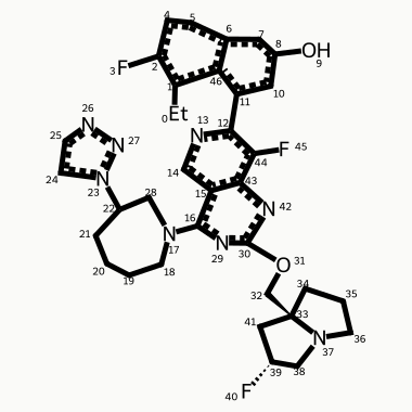 CCc1c(F)ccc2cc(O)cc(-c3ncc4c(N5CCCCC(n6ccnn6)C5)nc(OC[C@@]56CCCN5C[C@H](F)C6)nc4c3F)c12